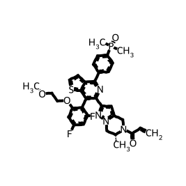 C=CC(=O)N1Cc2cc(-c3nc(-c4ccc(P(C)(C)=O)cc4)c4ccsc4c3-c3c(F)cc(F)cc3OCCOC)nn2C[C@H]1C